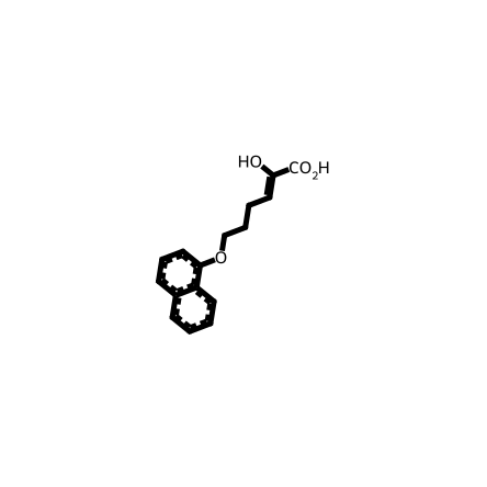 O=C(O)C(O)=CCCCOc1cccc2ccccc12